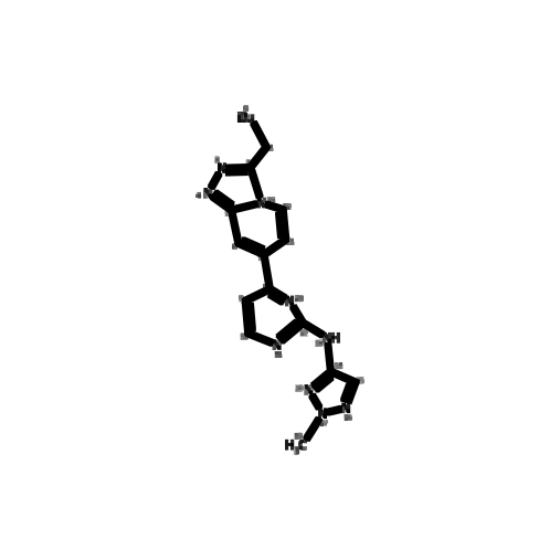 CCC(C)Cc1nnc2cc(-c3ccnc(Nc4cnn(C)n4)n3)ccn12